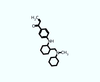 C=CC(=O)c1ccc(NC2CCCCC2CN(C)C2CCCCC2)cc1